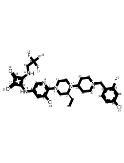 CC[C@H]1CN(c2ncc(Nc3c(NCC(F)(F)F)c(=O)c3=O)cc2Cl)CCN1C1CCN(Cc2ccc(Cl)cc2F)CC1